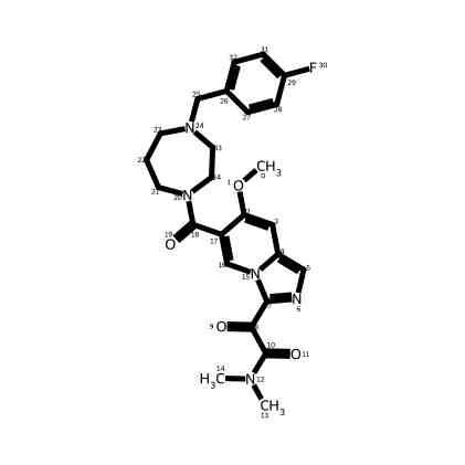 COc1cc2cnc(C(=O)C(=O)N(C)C)n2cc1C(=O)N1CCCN(Cc2ccc(F)cc2)CC1